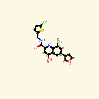 O=C(NCc1ccc(Cl)s1)c1cc(O)c2cc(-c3ccoc3)cc(C(F)(F)F)c2n1